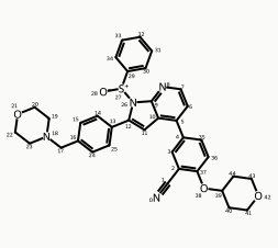 N#Cc1cc(-c2ccnc3c2cc(-c2ccc(CN4CCOCC4)cc2)n3[S+]([O-])c2ccccc2)ccc1OC1CCOCC1